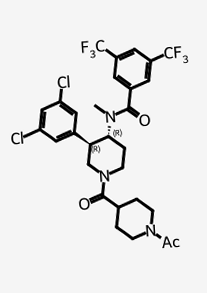 CC(=O)N1CCC(C(=O)N2CC[C@@H](N(C)C(=O)c3cc(C(F)(F)F)cc(C(F)(F)F)c3)[C@H](c3cc(Cl)cc(Cl)c3)C2)CC1